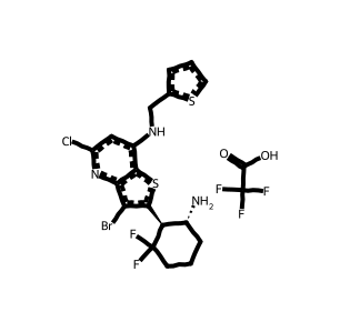 N[C@@H]1CCCC(F)(F)[C@H]1c1sc2c(NCc3cccs3)cc(Cl)nc2c1Br.O=C(O)C(F)(F)F